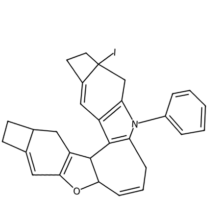 IC12CCC1=Cc1c3c(n(-c4ccccc4)c1C2)CC=CC1OC2=C(CC4CCC4=C2)C31